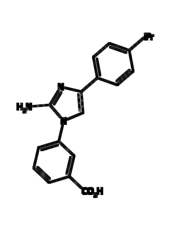 CC(C)c1ccc(-c2cn(-c3cccc(C(=O)O)c3)c(N)n2)cc1